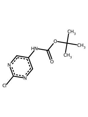 CC(C)(C)OC(=O)Nc1cnc(Cl)nc1